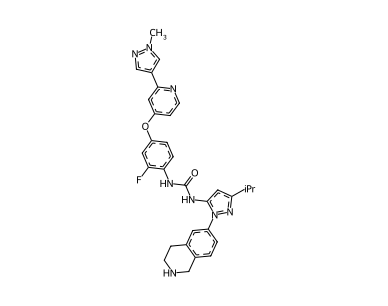 CC(C)c1cc(NC(=O)Nc2ccc(Oc3ccnc(-c4cnn(C)c4)c3)cc2F)n(-c2ccc3c(c2)CCNC3)n1